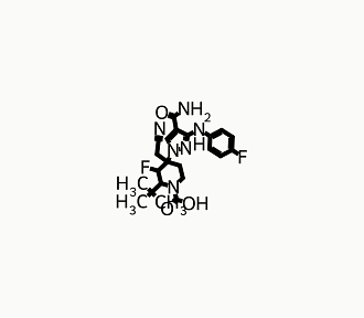 CC(C)(C)C1C(F)C(CC#N)(n2cc(C(N)=O)c(Nc3ccc(F)cc3)n2)CCN1C(=O)O